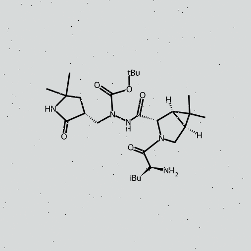 CC[C@H](C)[C@H](N)C(=O)N1C[C@H]2[C@@H]([C@H]1C(=O)NN(C[C@H]1CC(C)(C)NC1=O)C(=O)OC(C)(C)C)C2(C)C